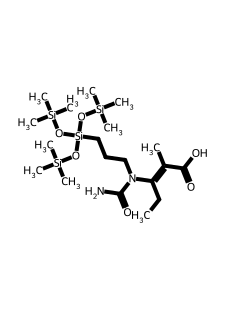 CCC(=C(C)C(=O)O)N(CCC[Si](O[Si](C)(C)C)(O[Si](C)(C)C)O[Si](C)(C)C)C(N)=O